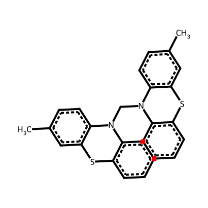 Cc1ccc2c(c1)Sc1ccccc1N2CN1c2ccccc2Sc2cc(C)ccc21